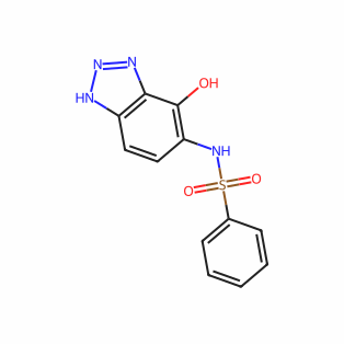 O=S(=O)(Nc1ccc2[nH]nnc2c1O)c1ccccc1